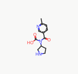 Cc1ccc(C(=O)N(C(=O)O)C2CCNC2)cn1